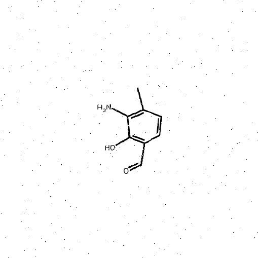 Cc1ccc(C=O)c(O)c1N